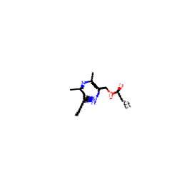 CCC(=O)OCc1nc(C)c(C)nc1C